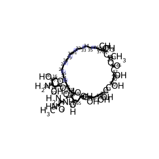 CNC(=O)[C@H](N)NC(=O)[C@H]1[C@@H]2CC(O[C@@H]3OC[C@@H](O)[C@H](N)[C@@H]3O)/C=C/C=C/C=C/C=C/C=C/C=C/C=C/[C@H](C)[C@@H](O)C[C@H](C)OC(=O)CC(O)CC(O)CCC(O)C(O)CC(O)CC(O)(C[C@@H]1O)O2